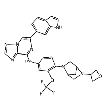 FC(F)(F)Oc1cc(Nc2nc(-c3ccc4cc[nH]c4c3)cn3ncnc23)ccc1N1CC2CC1CN2C1COC1